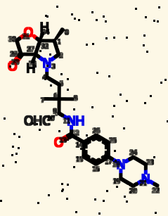 C[C@H]1CN(CCC(C)(C)[C@@H](C=O)NC(=O)c2ccc(N3CCN(C)CC3)cc2)[C@@H]2C(=O)CO[C@@H]21